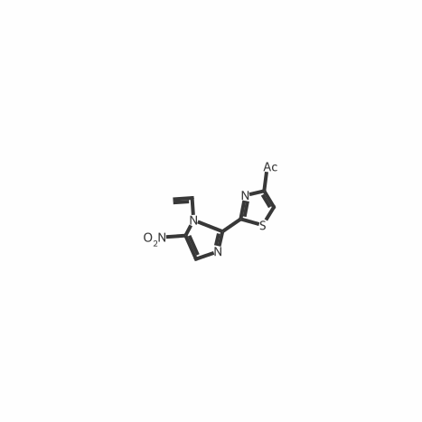 C=Cn1c([N+](=O)[O-])cnc1-c1nc(C(C)=O)cs1